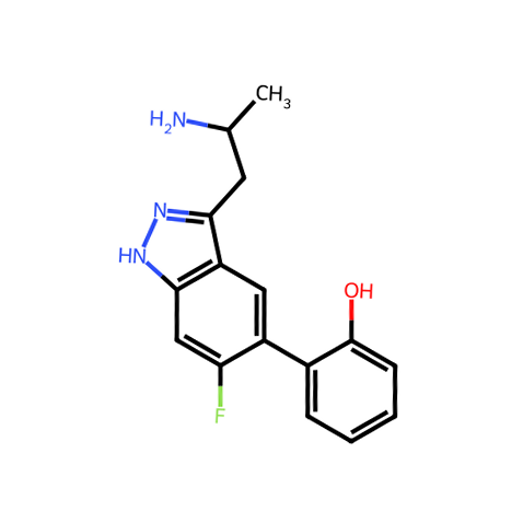 CC(N)Cc1n[nH]c2cc(F)c(-c3ccccc3O)cc12